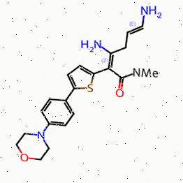 CNC(=O)/C(=C(/N)C/C=C/N)c1ccc(-c2ccc(N3CCOCC3)cc2)s1